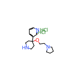 Cl.Cl.c1cncc(C2(OCCN3CCCC3)CCNCC2)c1